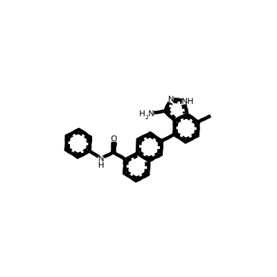 Cc1ccc(-c2ccc3c(C(=O)Nc4ccccc4)cccc3c2)c2c(N)n[nH]c12